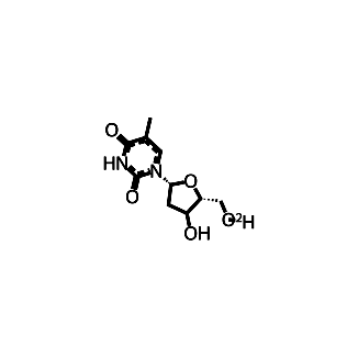 [2H]OC[C@H]1O[C@@H](n2cc(C)c(=O)[nH]c2=O)CC1O